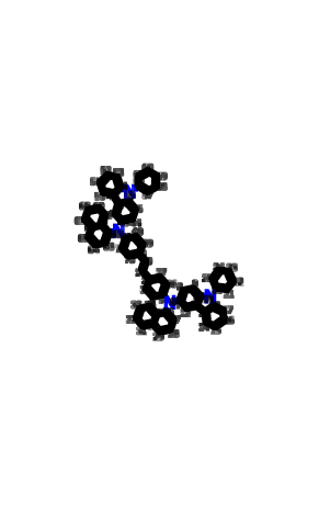 C(=C\c1ccc(N(c2ccc3c(c2)c2ccccc2n3-c2ccccc2)c2cccc3ccccc23)cc1)/c1ccc(N(c2ccc3c(c2)c2ccccc2n3-c2ccccc2)c2cccc3ccccc23)cc1